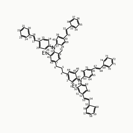 CCc1cc(CCCc2cc(C)c(N(c3ccc(/C=C/c4ccccc4)cc3)c3ccc(/C=C/c4ccccc4)cc3)c(CC)c2)cc(C)c1N(c1ccc(/C=C/c2ccccc2)cc1)c1ccc(/C=C/c2ccccc2)cc1